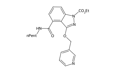 CCCCCNC(=O)c1cccc2c1c(OCc1cccnc1)nn2C(=O)OCC